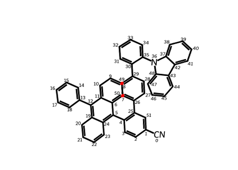 N#Cc1ccc(-c2c3ccccc3c(-c3ccccc3)c3ccccc23)c(-c2ccc(-c3ccccc3-n3c4ccccc4c4ccccc43)cc2)c1